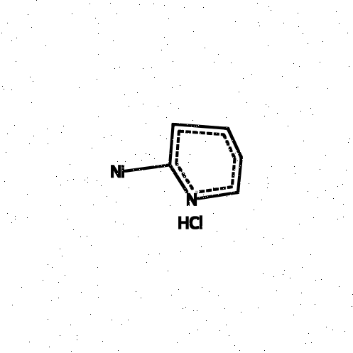 Cl.[Ni][c]1ccccn1